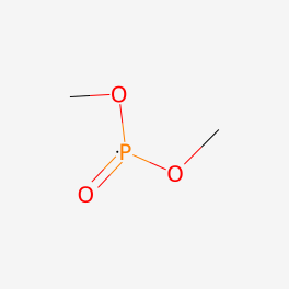 CO[P](=O)OC